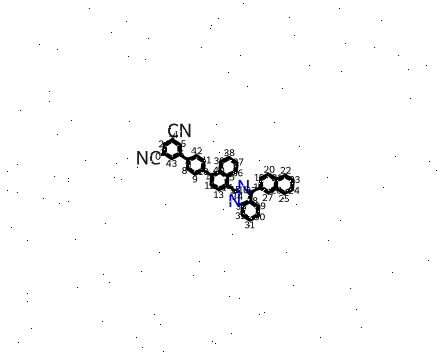 N#Cc1cc(C#N)cc(-c2ccc(-c3ccc(-c4nc(-c5ccc6ccccc6c5)c5ccccc5n4)c4ccccc34)cc2)c1